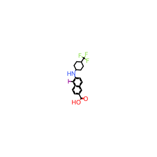 O=C(O)c1ccc2c(I)c(NC3CCC(C(F)(F)F)CC3)ccc2c1